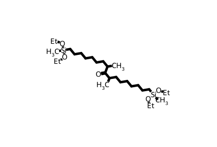 CCO[Si](C)(CCCCCCCC(C)C(=O)C(C)CCCCCCC[Si](C)(OCC)OCC)OCC